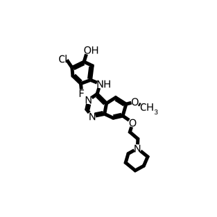 COc1cc2c(Nc3cc(O)c(Cl)cc3F)ncnc2cc1OCCN1CCCCC1